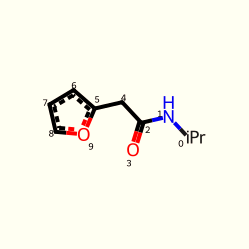 CC(C)NC(=O)Cc1ccco1